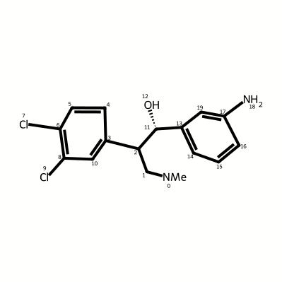 CNCC(c1ccc(Cl)c(Cl)c1)[C@H](O)c1cccc(N)c1